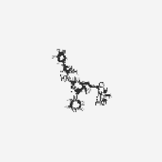 CS(=O)(=O)NC(=O)c1cc2nc(Nc3cc(-c4ccccc4)n[nH]3)nc(N3CCOCC3)c2o1